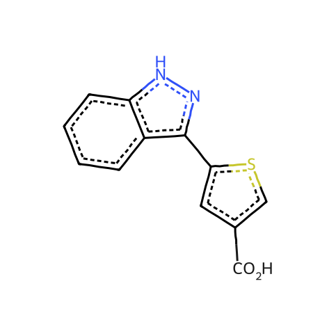 O=C(O)c1csc(-c2n[nH]c3ccccc23)c1